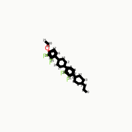 CCCC1CCC(c2ccc(C3CCC(c4ccc(OCC)c(F)c4F)CC3)c(F)c2F)CC1